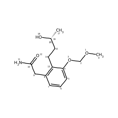 COCOc1cccc(CC(N)=O)c1CC[C@@H](C)O